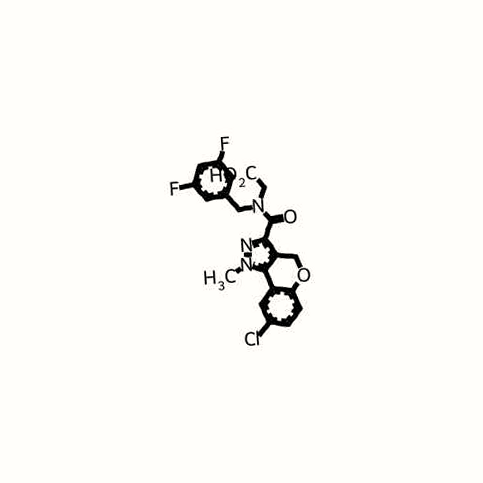 Cn1nc(C(=O)N(CC(=O)O)Cc2cc(F)cc(F)c2)c2c1-c1cc(Cl)ccc1OC2